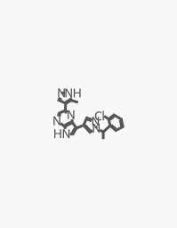 Cc1[nH]ncc1-c1cnc2[nH]cc(-c3cnn(C(C)c4ccccc4Cl)c3)c2n1